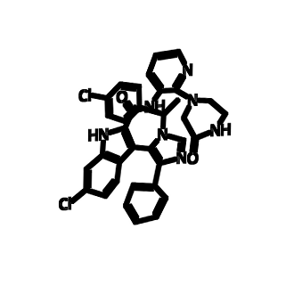 CC(c1ccc(Cl)cc1)n1cnc(-c2ccccc2)c1-c1c(C(=O)Nc2cccnc2N2CCNC(=O)C2)[nH]c2cc(Cl)ccc12